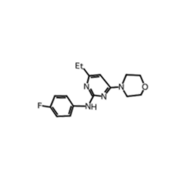 CCc1cc(N2CCOCC2)nc(Nc2ccc(F)cc2)n1